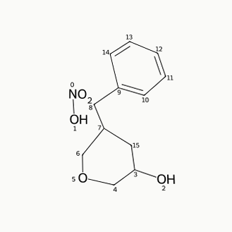 O=[N+]([O-])O.OC1COCC(Cc2ccccc2)C1